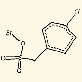 CCOS(=O)(=O)Cc1ccc(Cl)cc1